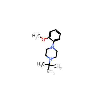 COc1ccccc1N1CCN(C(C)(C)C)CC1